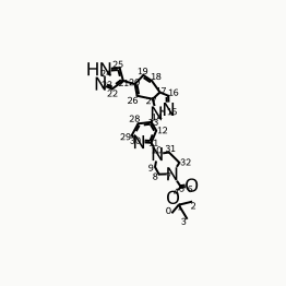 CC(C)(C)OC(=O)N1CCN(c2cc(N3N=CC4C=CC(c5cn[nH]c5)=CC43)ccn2)CC1